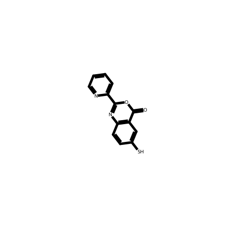 O=c1oc(-c2ccccn2)nc2ccc(S)cc12